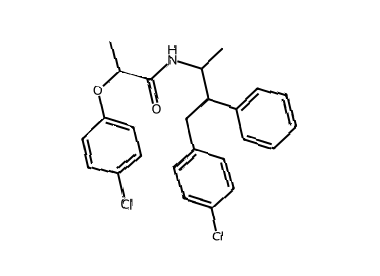 CC(Oc1ccc(Cl)cc1)C(=O)NC(C)C(Cc1ccc(Cl)cc1)c1ccccc1